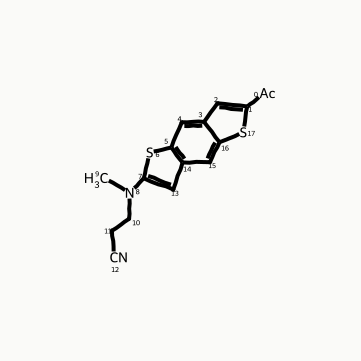 CC(=O)c1cc2cc3sc(N(C)CCC#N)cc3cc2s1